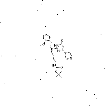 COc1ccccc1CCN(CCCCNC(=O)OC(C)(C)C)c1nc(-c2ccncc2)cc(=O)[nH]1